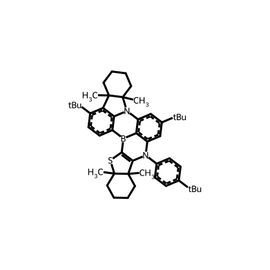 CC(C)(C)c1ccc(N2C3=C(SC4(C)CCCCC34C)B3c4ccc(C(C)(C)C)c5c4N(c4cc(C(C)(C)C)cc2c43)C2(C)CCCCC52C)cc1